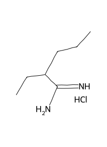 CCCC(CC)C(=N)N.Cl